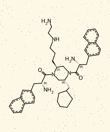 NCCNCCC[C@H]1CN(C(=O)[C@H](N)Cc2ccc3ccccc3c2)[C@H](CC2CCCCC2)CN1C(=O)[C@H](N)Cc1ccc2ccccc2c1